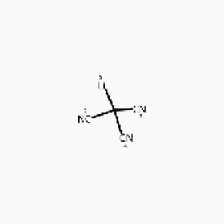 [Li][C](C#N)(C#N)C#N